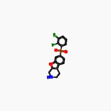 O=S(=O)(c1ccc2c3c(oc2c1)CNCC3)c1cccc(F)c1F